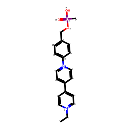 CC[n+]1ccc(-c2cc[n+](-c3ccc(COP(C)(=O)O)cc3)cc2)cc1